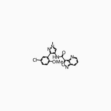 COc1ccc(Cl)cc1-c1nn(C)cc1NC(=O)c1onc2cccnc12